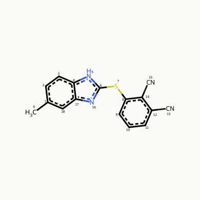 Cc1ccc2[nH]c(Sc3cccc(C#N)c3C#N)nc2c1